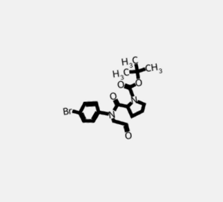 CC(C)(C)OC(=O)N1CCCC1C(=O)N(CC=O)c1ccc(Br)cc1